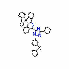 CC1(C)c2ccccc2-c2ccc(-c3nc(-c4ccccc4)nc(-c4nc5c(c6ccccc46)C4(c6ccccc6-c6ccccc64)c4ccccc4-5)n3)cc21